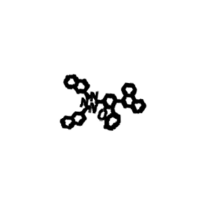 c1ccc2cc(-c3nc(-c4ccc5ccccc5c4)nc(-c4ccc(-c5cc6ccccc6c6ccccc56)c5c4oc4ccccc45)n3)ccc2c1